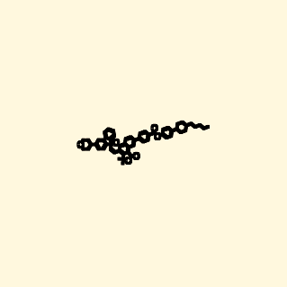 CCCCCC1CCC(c2ccc(OC(=O)c3ccc(-c4ccc5c6c(c7c(c5c4)C(=O)OC7(C)C)C=CC(c4ccccc4)(c4ccc(C5CCOCC5)cc4)O6)cc3)cc2)CC1